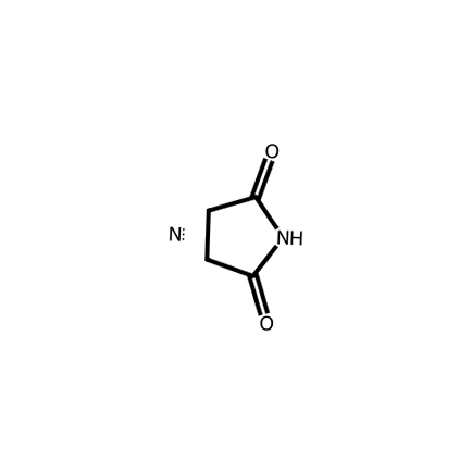 O=C1CCC(=O)N1.[N]